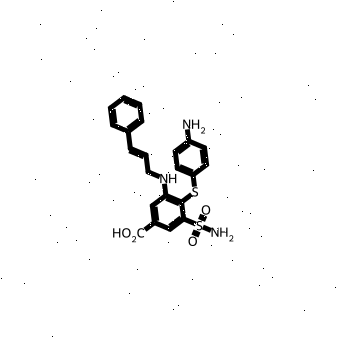 Nc1ccc(Sc2c(NCC=Cc3ccccc3)cc(C(=O)O)cc2S(N)(=O)=O)cc1